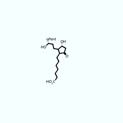 CCCCC[C@@H](O)CCC1C(CCCCCCC(=O)O)C(=O)C[C@H]1O